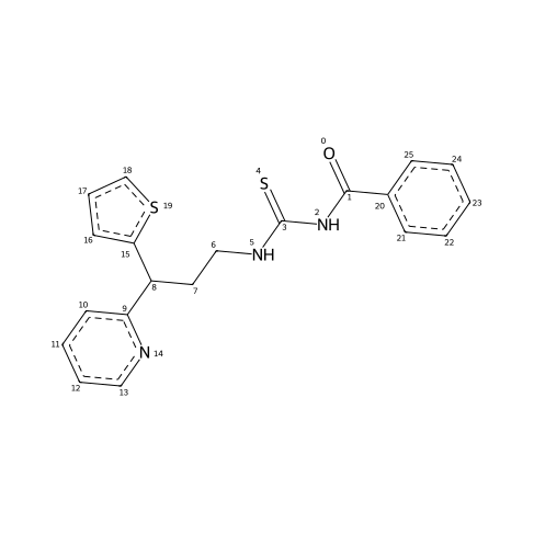 O=C(NC(=S)NCCC(c1ccccn1)c1cccs1)c1ccccc1